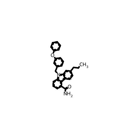 CCCc1c[c]c2c3c(C(N)=O)cccc3n(Cc3cccc(Oc4ccccc4)c3)c2c1